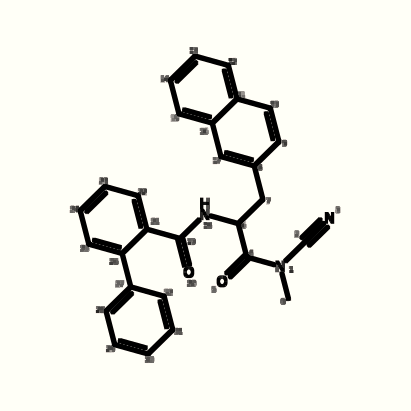 CN(C#N)C(=O)C(Cc1ccc2ccccc2c1)NC(=O)c1ccccc1-c1ccccc1